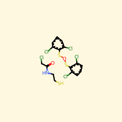 Clc1cccc(Cl)c1SOSc1c(Cl)cccc1Cl.O=C(CCl)NCCS